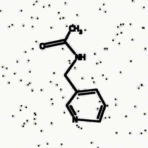 CC(=O)NCc1c[c]cnc1